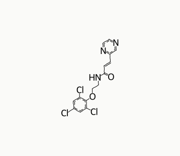 O=C(C=Cc1cnccn1)NCCOc1c(Cl)cc(Cl)cc1Cl